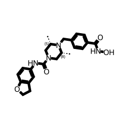 C[C@@H]1CN(C(=O)Nc2ccc3c(c2)CCO3)C[C@H](C)N1Cc1ccc(C(=O)NO)cc1